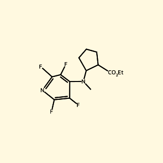 CCOC(=O)C1CCCC1N(C)c1c(F)c(F)nc(F)c1F